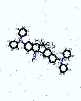 [C-]#[N+]c1c2c(cc3cc(N(c4ccccc4)c4ccccc4)ccc13)C(C)(C)c1cc3cc(N(c4ccccc4)c4ccccc4)ccc3cc1-2